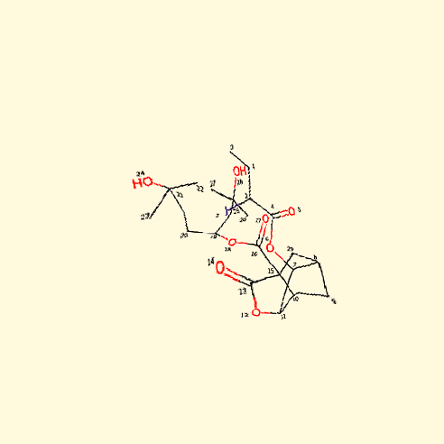 CCC(I)C(=O)OC1C2CC3C1OC(=O)C3(C(=O)OC(CC(C)(C)O)C(C)(C)O)C2